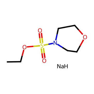 CCOS(=O)(=O)N1CCOCC1.[NaH]